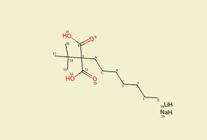 CCCCCCCC(C(=O)O)(C(=O)O)C(C)(C)C.[LiH].[NaH]